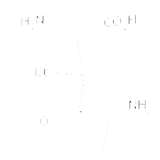 CCC(C)(C(=O)C(C)N)C(N)C(=O)O